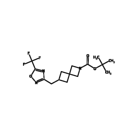 CC(C)(C)OC(=O)N1CC2(CC(Cc3noc(C(F)(F)F)n3)C2)C1